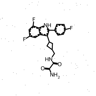 NC(=O)C(=O)NCC1CC(c2c(-c3ccc(F)cc3)[nH]c3c(F)cc(F)cc23)C1